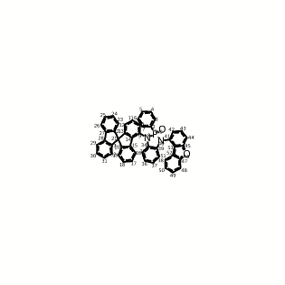 O=P1(c2ccccc2)N(c2cccc3c2-c2ccccc2C32c3ccccc3-c3ccccc32)c2ccccc2N1c1cccc2oc3ccccc3c12